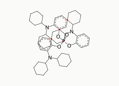 O=P(Oc1ccccc1N(C1CCCCC1)C1CCCCC1)(Oc1ccccc1N(C1CCCCC1)C1CCCCC1)Oc1ccccc1N(C1CCCCC1)C1CCCCC1